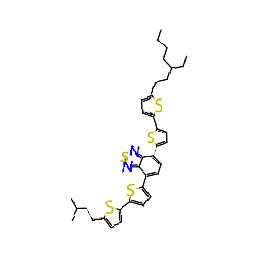 CCCCC(CC)CCc1ccc(-c2ccc(-c3ccc(-c4ccc(-c5ccc(CCC(C)C)s5)s4)c4nsnc34)s2)s1